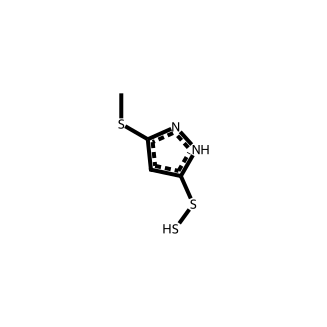 CSc1cc(SS)[nH]n1